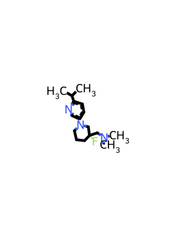 CC(C)c1ccc(N2CCC[C@](F)(CN(C)C)C2)cn1